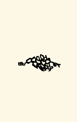 Cc1c2c(c(C)c3cc(CC(C)C)ccc13)-c1c3c(cc4ccc(C(C)(C)C)cc4c3cc[n+]1C)O2